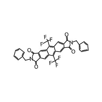 O=c1c2cc3c(C(F)(F)F)c4cc5c(=O)n(Cc6ccccc6)c(=O)c5cc4c(C(F)(F)F)c3cc2c(=O)n1Cc1ccccc1